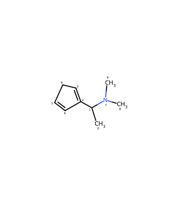 CC(C1=[C]CC=C1)N(C)C